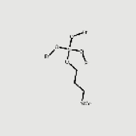 CCO[Si](OCC)(OCC)OCCCNC